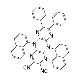 [C-]#[N+]c1nc2c(nc1[N+]#[C-])N(c1cccc3ccccc13)c1nc(-c3ccccc3)c(-c3ccccc3)nc1N2c1cccc2ccccc12